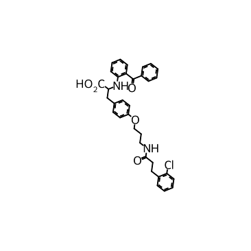 O=C(CCc1ccccc1Cl)NCCCOc1ccc(CC(Nc2ccccc2C(=O)c2ccccc2)C(=O)O)cc1